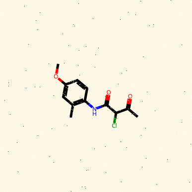 COc1ccc(NC(=O)C(Cl)C(C)=O)c(C)c1